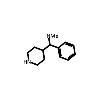 CNC(c1ccccc1)C1CCNCC1